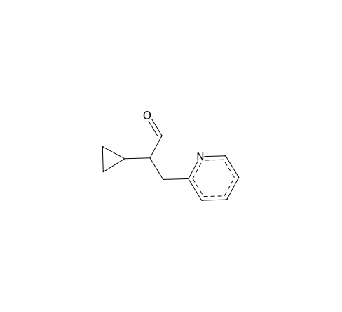 O=CC(Cc1ccccn1)C1CC1